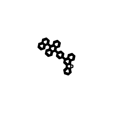 c1ccc2c(-c3c4ccccc4c(-c4ccc(-c5cc6c7ccccc7oc6c6ccccc56)cc4)c4ccccc34)cccc2c1